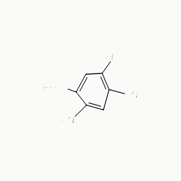 N#Cc1cc([N+](=O)[O-])c(C(=O)O)cc1F